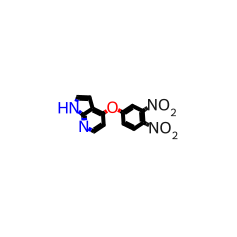 O=[N+]([O-])c1ccc(Oc2ccnc3[nH]ccc23)cc1[N+](=O)[O-]